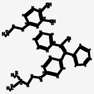 CC/C(=C(\c1ccccc1)c1ccc(OCCN(C)C)cc1)c1ccccc1.NCCc1ccc(O)c(O)c1